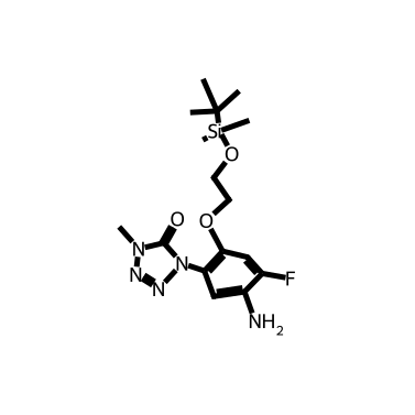 Cn1nnn(-c2cc(N)c(F)cc2OCCO[Si](C)(C)C(C)(C)C)c1=O